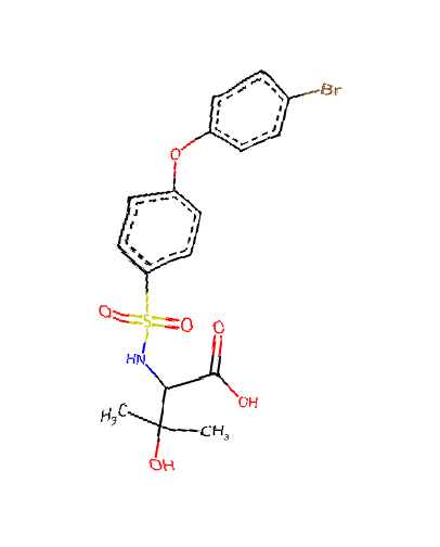 CC(C)(O)C(NS(=O)(=O)c1ccc(Oc2ccc(Br)cc2)cc1)C(=O)O